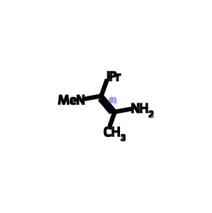 CN/C(=C(\C)N)C(C)C